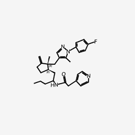 C=C1CC[C@H](CC(CCC)NC(=O)Cc2ccncc2)[C@@]1(C)Cc1cnn(-c2ccc(F)cc2)c1C